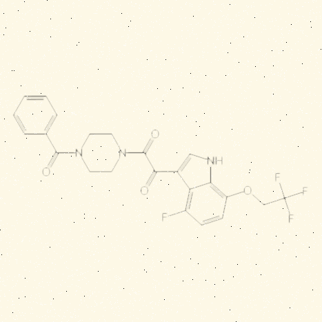 O=C(C(=O)N1CCN(C(=O)c2ccccc2)CC1)c1c[nH]c2c(OCC(F)(F)F)ccc(F)c12